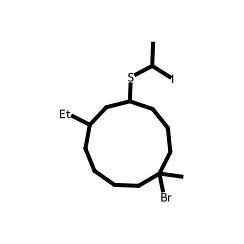 CCC1CCCCC(C)(Br)CCCC(SC(C)I)C1